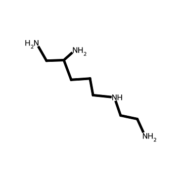 NCCNCCCC(N)CN